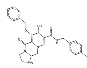 O=C(NCc1ccc(F)cc1)C1=CN2CC3NCCN3C(=O)C2=C(OCc2ccccc2)C1O